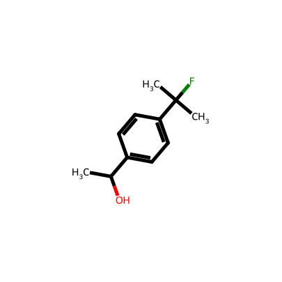 CC(O)c1ccc(C(C)(C)F)cc1